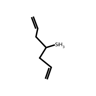 C=CCC([SiH3])CC=C